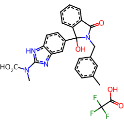 Cc1cccc(CN2C(=O)c3ccccc3C2(O)c2ccc3[nH]c(N(C)C(=O)O)nc3c2)c1.O=C(O)C(F)(F)F